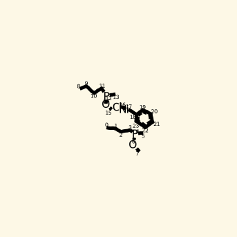 CCCCP(C)OC.CCCCP(C)OC.[Cl][Ni][c]1ccccc1